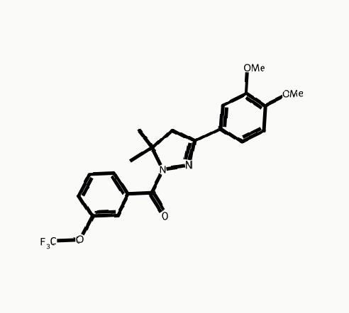 COc1ccc(C2=NN(C(=O)c3cccc(OC(F)(F)F)c3)C(C)(C)C2)cc1OC